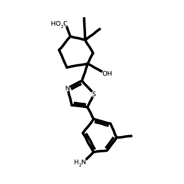 Cc1cc(N)cc(-c2cnc(C3(O)CCC(C(=O)O)C(C)(C)C3)s2)c1